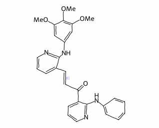 COc1cc(Nc2ncccc2/C=C/C(=O)c2cccnc2Nc2ccccc2)cc(OC)c1OC